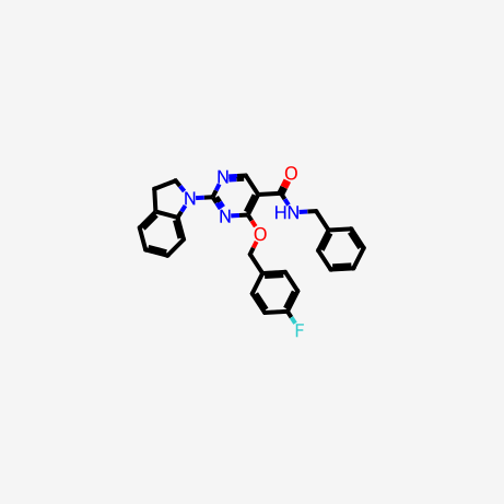 O=C(NCc1ccccc1)c1cnc(N2CCc3ccccc32)nc1OCc1ccc(F)cc1